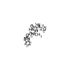 CC(c1nc2c(cnn2C2CCOCC2)c(=O)[nH]1)N1CC(Oc2ncc3ccccc3n2)C1